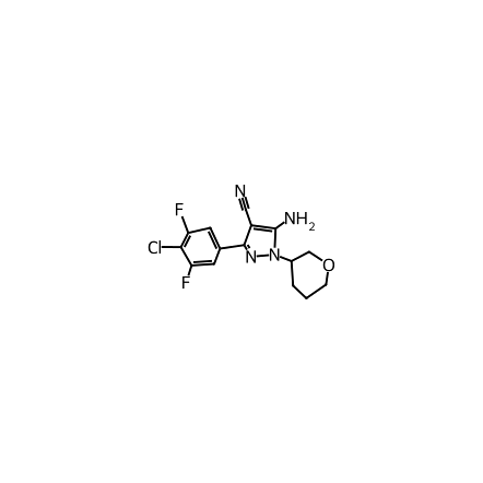 N#Cc1c(-c2cc(F)c(Cl)c(F)c2)nn(C2CCCOC2)c1N